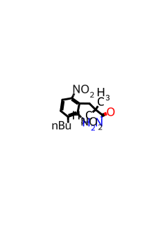 CCCCc1ccc([N+](=O)[O-])c(CC(C)(C)C(N)=O)c1[N+](=O)[O-]